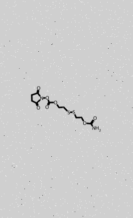 NC(=O)OCCSSCCOC(=O)ON1C(=O)CCC1=O